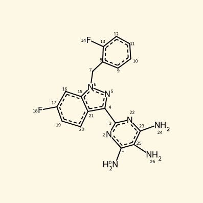 Nc1nc(-c2nn(Cc3ccccc3F)c3cc(F)ccc23)nc(N)c1N